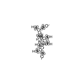 Cc1ccc(S(=O)(=O)OOc2cc(S(=O)(=O)O)cc3cc(S(=O)(=O)O)c(N=Nc4cc(S(=O)(=O)O)c5cc(S(=O)(=O)O)c(N=Nc6ccc7c(OS(=O)(=O)c8ccc(C)cc8)cc(S(=O)(=O)O)cc7c6S(=O)(=O)O)c(O)c5c4N)cc23)cc1